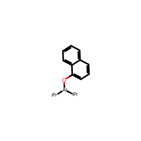 C[CH](C)[Al]([O]c1cccc2c[c]ccc12)[CH](C)C